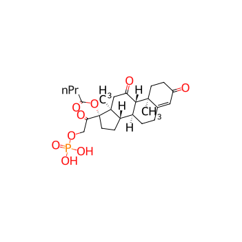 CCCC(=O)O[C@@]1(C(=O)COP(=O)(O)O)CC[C@H]2[C@@H]3CCC4=CC(=O)CC[C@]4(C)[C@H]3C(=O)C[C@@]21C